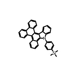 C[Si](C)(C)c1ccc(-n2c3ccccc3c3c4c5ccccc5c5ccccc5c4c4ccccc4c32)cc1